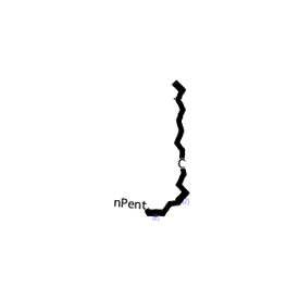 C=C[CH]CCCCCCCC/C=C\C/C=C\CCCCC